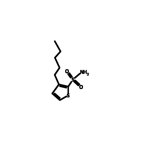 CCCCCc1ccsc1S(N)(=O)=O